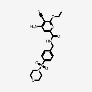 CCOc1nc(C(=O)NCc2ccc(S(=O)(=O)N3CCOCC3)cc2)cc(N)c1C#N